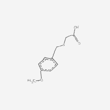 COc1ccc(CSCC(=O)O)cc1